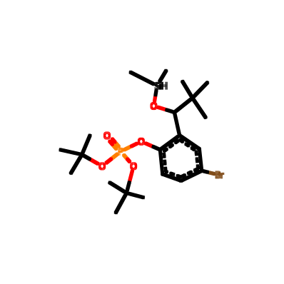 C[SiH](C)OC(c1cc(Br)ccc1OP(=O)(OC(C)(C)C)OC(C)(C)C)C(C)(C)C